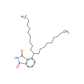 CCCCCCCCCC(CCCCCCCCC)c1cccc2c1C(=O)NC2=O